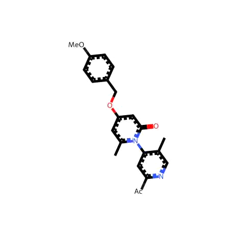 COc1ccc(COc2cc(C)n(-c3cc(C(C)=O)ncc3C)c(=O)c2)cc1